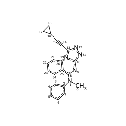 CN(c1ccccc1)c1nc2nnc(C#CC3CC3)n2c2ccccc12